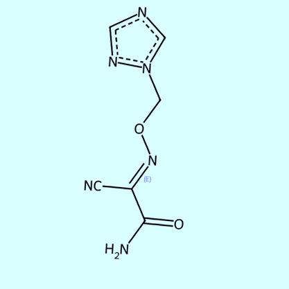 N#C/C(=N\OCn1cncn1)C(N)=O